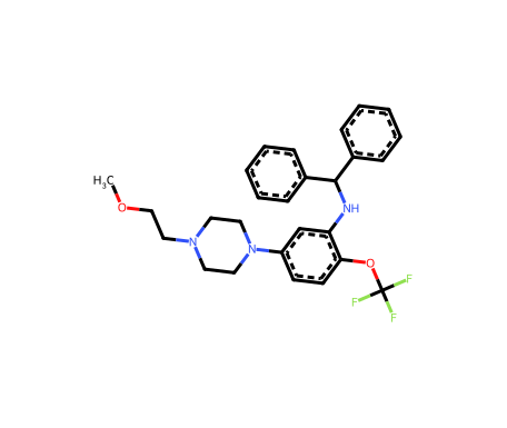 COCCN1CCN(c2ccc(OC(F)(F)F)c(NC(c3ccccc3)c3ccccc3)c2)CC1